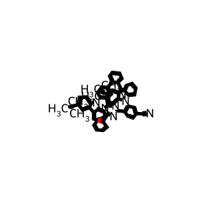 CC(C)(C)c1ccc2c(c1)c1ccccc1n2-c1ccc(-c2ccccc2C#N)cc1-c1nc(-c2ccccc2)nc(-c2ccc(C#N)cc2-n2c3ccccc3c3cc(C(C)(C)C)ccc32)n1